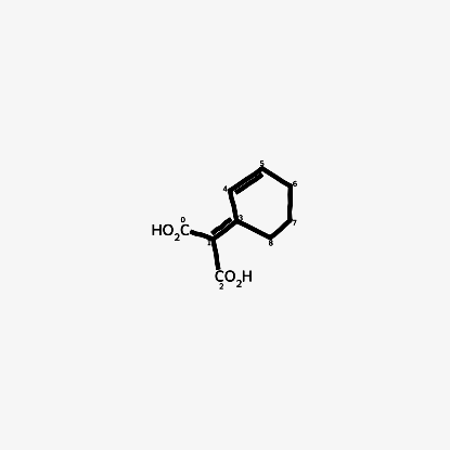 O=C(O)C(C(=O)O)=C1C=CCCC1